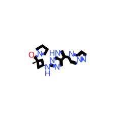 C[C@]1(C(=O)N2CCCC2)C[C@@H](Nc2ncc3c(-c4ccn5nccc5n4)c[nH]c3n2)C1